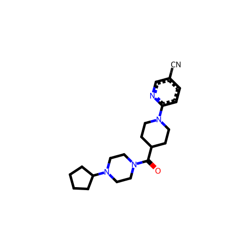 N#Cc1ccc(N2CCC(C(=O)N3CCN(C4CCCC4)CC3)CC2)nc1